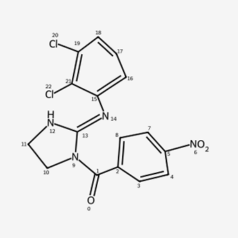 O=C(c1ccc([N+](=O)[O-])cc1)N1CCNC1=Nc1cccc(Cl)c1Cl